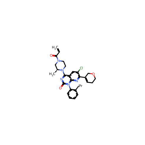 C=CC(=O)N1CCN(c2nc(=O)n(-c3ccccc3C(C)C)c3nc(C4=CCCOC4)c(Cl)cc23)[C@@H](C)C1